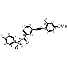 COc1ccc(C#Cc2cncc(C(=O)N=S(C)(=O)c3ccc(C)cc3)c2)c(C)c1